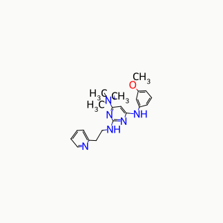 COc1cccc(Nc2cc([N+](C)(C)C)nc(NCCc3ccccn3)n2)c1